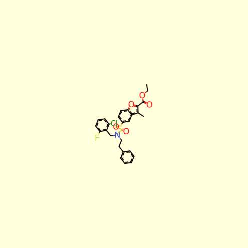 CCOC(=O)c1oc2ccc(S(=O)(=O)N(CCc3ccccc3)Cc3c(F)cccc3Cl)cc2c1C